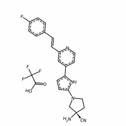 N#C[C@]1(N)CCN(c2ccc(-c3ccnc(/C=C/c4ccc(F)cc4)c3)[nH]2)C1.O=C(O)C(F)(F)F